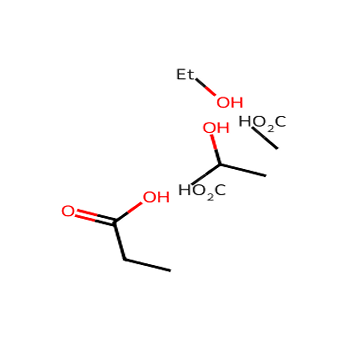 CC(=O)O.CC(O)C(=O)O.CCC(=O)O.CCO